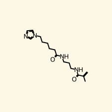 C=C(C)C(=O)NCCCNC(=O)CCCCCn1ccnc1